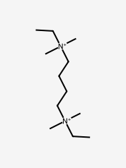 CC[N+](C)(C)CCCC[N+](C)(C)CC